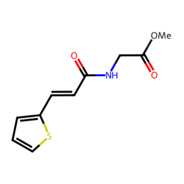 COC(=O)CNC(=O)/C=C/c1cccs1